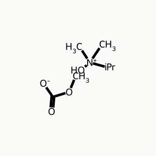 CC(C)[N+](C)(C)O.COC(=O)[O-]